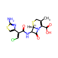 CC1=C(C(=O)O)N2C(=O)C(NC(=O)C(=CCl)c3csc(N)n3)[C@@H]2SC1